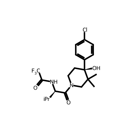 CC(C)[C@@H](NC(=O)C(F)(F)F)C(=O)N1CC[C@](O)(c2ccc(Cl)cc2)C(C)(C)C1